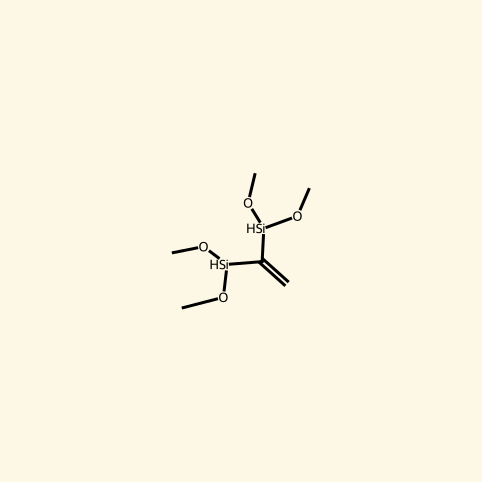 C=C([SiH](OC)OC)[SiH](OC)OC